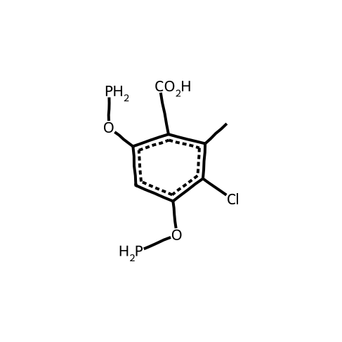 Cc1c(Cl)c(OP)cc(OP)c1C(=O)O